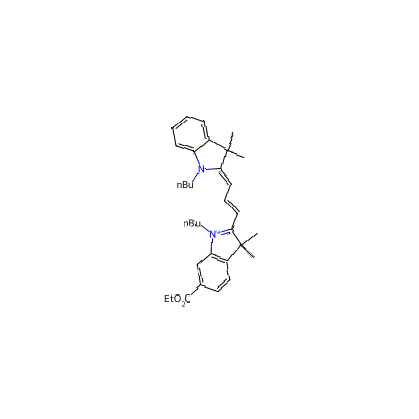 CCCCN1C(=CC=CC2=[N+](CCCC)c3cc(C(=O)OCC)ccc3C2(C)C)C(C)(C)c2ccccc21